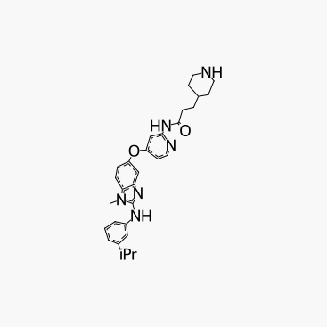 CC(C)c1cccc(Nc2nc3cc(Oc4ccnc(NC(=O)CCC5CCNCC5)c4)ccc3n2C)c1